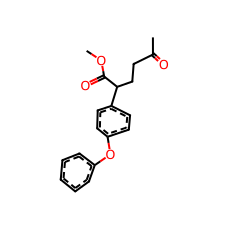 COC(=O)C(CCC(C)=O)c1ccc(Oc2ccccc2)cc1